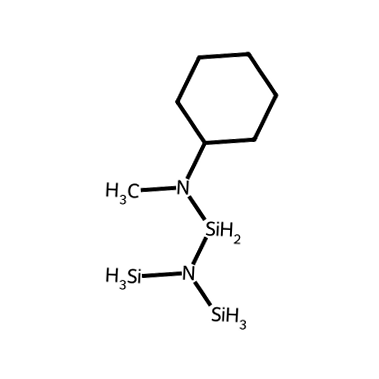 CN([SiH2]N([SiH3])[SiH3])C1CCCCC1